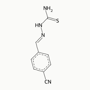 N#Cc1ccc(C=NNC(N)=S)cc1